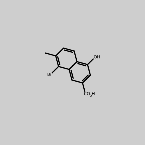 Cc1ccc2c(O)cc(C(=O)O)cc2c1Br